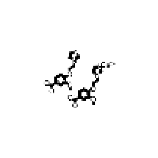 COc1cc(C(=O)[O-])ccc1OCCn1ccnc1.COc1cc(C(=O)[O-])ccc1OCCn1ccnc1.[Ca+2]